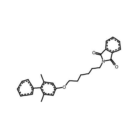 Cc1cc(OCCCCCCN2C(=O)c3ccccc3C2=O)cc(C)c1-c1ccccc1